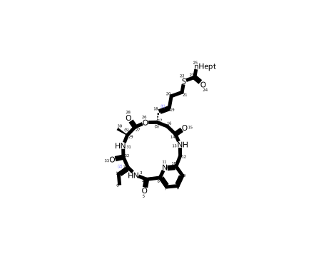 C/C=C1\NC(=O)c2cccc(n2)CNC(=O)C[C@@H](/C=C/CCSC(=O)CCCCCCC)OC(=O)[C@H](C)NC1=O